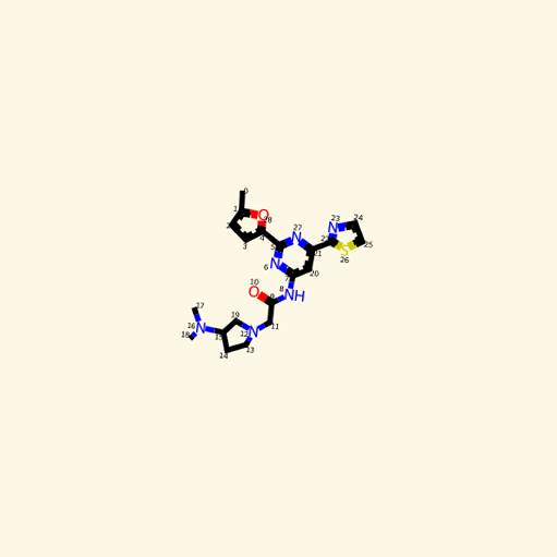 Cc1ccc(-c2nc(NC(=O)CN3CCC(N(C)C)C3)cc(-c3nccs3)n2)o1